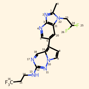 Cc1nc2ncc(-c3ccn4nc(NCCC(F)(F)F)ncc34)cc2n1CC(F)F